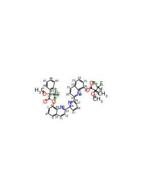 COC(C(=O)Oc1cccc2ccc(-c3cccc(-c4ccc5cccc(OC(=O)[C@@](C)(OC)C(F)(F)F)c5n4)n3)nc12)(c1ccccc1)C(F)(F)F